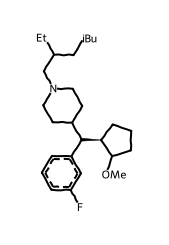 CCC(C)CC(CC)CN1CCC(C(c2cccc(F)c2)[C@H]2CCCC2OC)CC1